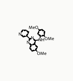 COc1ccc(OC)c(Nc2nc(-c3cccnc3)nc3ccc(OC)cc23)c1